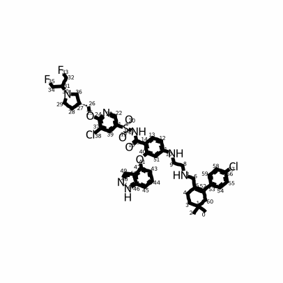 CC1(C)CCC(CNCCNc2ccc(C(=O)NS(=O)(=O)c3cnc(OC[C@@H]4CCN(C(CF)CF)C4)c(Cl)c3)c(Oc3cccc4[nH]ncc34)c2)=C(c2ccc(Cl)cc2)C1